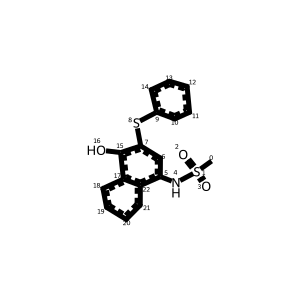 CS(=O)(=O)Nc1cc(Sc2ccccc2)c(O)c2ccccc12